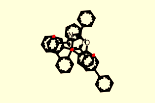 c1ccc(-c2ccc(-c3nc(-c4ccccc4)nc(-c4ccccc4-c4ccccc4C4(c5ccccc5)c5ccccc5Oc5ccccc54)n3)cc2)cc1